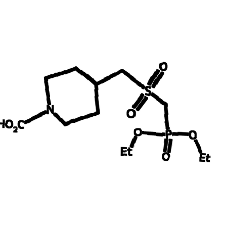 CCOP(=O)(CS(=O)(=O)CC1CCN(C(=O)O)CC1)OCC